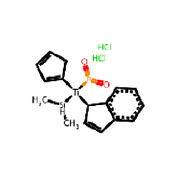 C[SiH](C)[Ti]([C]1=CC=CC1)([CH]1C=Cc2ccccc21)[P](=O)=O.Cl.Cl